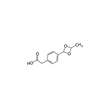 CC1OC(c2ccc(CC(=O)O)cc2)O1